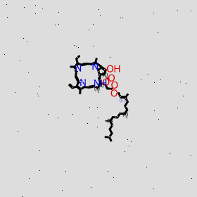 C=CC1=C(C)C2=NC1=CC1=NC(=CC3=C(C)C4=C(O)[C@H](C(=O)OC)C(=C5NC(=C2)[C@@H](C)[C@@H]5CCC(=O)OC/C=C(\C)CCC[C@H](C)CCC[C@H](C)CCCC(C)C)C4=N3)C(CC)=C1C